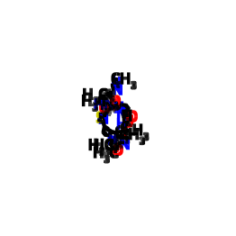 CCO[C@@H]1C2=NC(CS2)c2ccc3c(c2)c(c(-c2cccnc2[C@H](C)OC)n3CC)CC(C)(C)COC(=O)[C@@H]2CCCN(N2)C(=O)[C@H]1NC(=O)[C@H]1[C@H](C)[C@@H]1c1cn(C)cn1